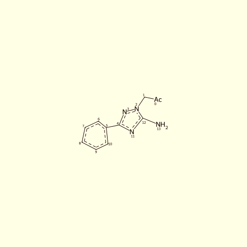 CC(=O)Cn1nc(-c2ccccc2)nc1N